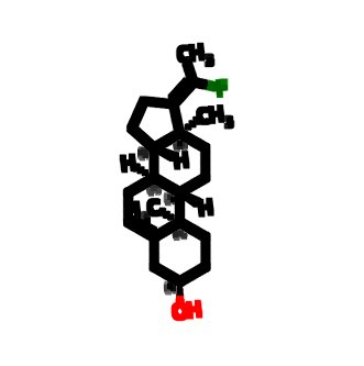 CC(F)=C1CC[C@H]2[C@@H]3CC=C4C[C@@H](O)CC[C@]4(C)[C@H]3CC[C@]12C